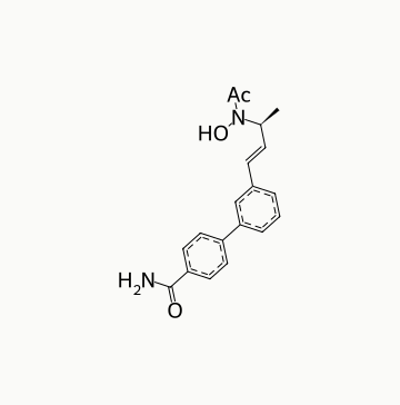 CC(=O)N(O)[C@@H](C)C=Cc1cccc(-c2ccc(C(N)=O)cc2)c1